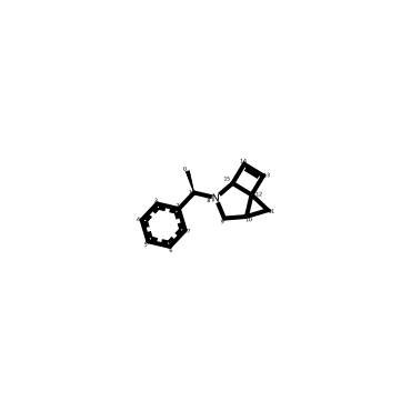 C[C@H](c1ccccc1)N1CC2CC23C=CC13